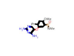 CN[S+]([O-])c1cc(Oc2cnc(N)nc2N)c(C(C)C)cc1OC